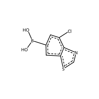 OB(O)c1cc(Cl)c2ncsc2c1